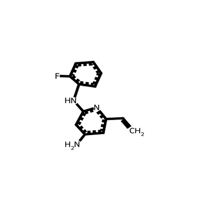 C=Cc1cc(N)cc(Nc2ccccc2F)n1